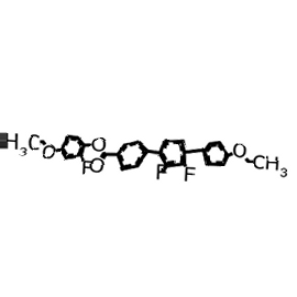 CCOc1ccc(-c2ccc(-c3ccc(C(=O)Oc4ccc(OCC)cc4F)cc3)c(F)c2F)cc1